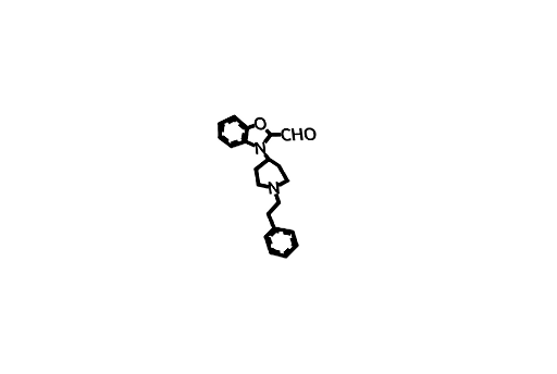 O=CC1Oc2ccccc2N1C1CCN(CCc2ccccc2)CC1